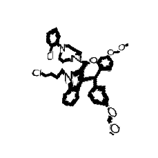 COCOc1ccc(C(c2ccc(OCOC)cc2)c2c(C(=O)N3CCN(c4ccccc4Cl)CC3)n(CCCCCl)c3ccccc23)cc1